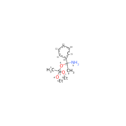 CCO[Si](C)(OCC)OC(C)(N)c1ccccc1